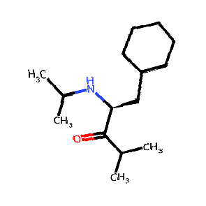 CC(C)N[C@@H](CC1CCCCC1)C(=O)C(C)C